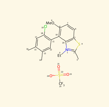 CC[n+]1c(C)sc2ccc(OC)c(-c3cc(C)c(C)cc3Cl)c21.O=S(=O)([O-])C(F)(F)F